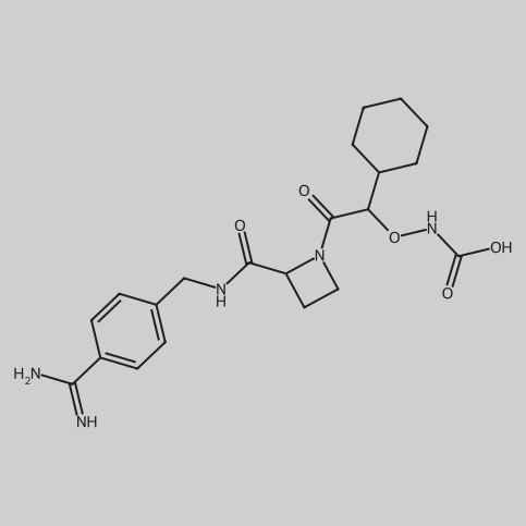 N=C(N)c1ccc(CNC(=O)C2CCN2C(=O)C(ONC(=O)O)C2CCCCC2)cc1